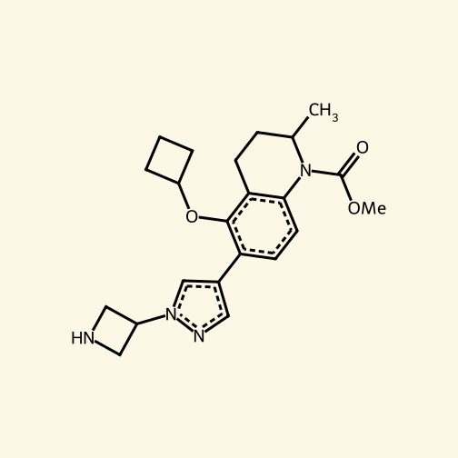 COC(=O)N1c2ccc(-c3cnn(C4CNC4)c3)c(OC3CCC3)c2CCC1C